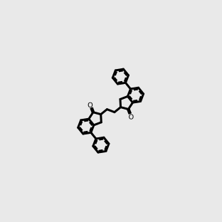 O=C1c2cccc(-c3ccccc3)c2CC1CCC1Cc2c(cccc2-c2ccccc2)C1=O